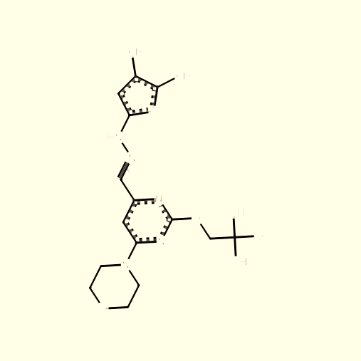 Cc1cc(N/N=C/c2cc(N3CCOCC3)nc(OCC(C)(C)O)n2)oc1C